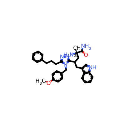 COc1ccc(Cn2c(CCCc3ccccc3)nnc2C(Cc2c[nH]c3ccccc23)C[C@](C)(N)C(N)=O)cc1